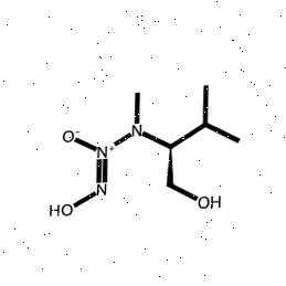 CC(C)[C@@H](CO)N(C)/[N+]([O-])=N/O